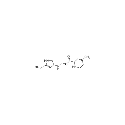 CN1CCNC(C(=O)OCNC2C=C(C(=O)O)NC2)C1